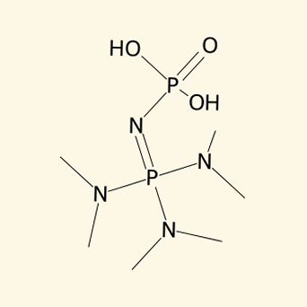 CN(C)P(=NP(=O)(O)O)(N(C)C)N(C)C